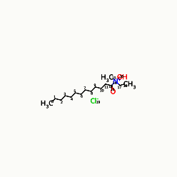 CCCCCCCCCCCCC(=O)[N+](C)(O)CC.[Cl-]